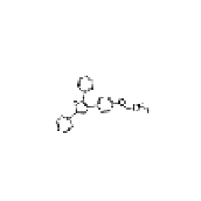 CCOc1ccc(-c2cc(-c3ccccc3)sc2-c2ccccc2)cc1